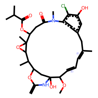 C=C1NC2(O)CC(O1)C(C)C1OC1(C)C(OC(=O)C(C)C)CC(=O)N(C)c1cc(cc(O)c1Cl)C/C(C)=C/C=C/C2OC